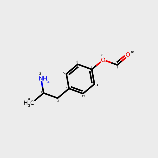 CC(N)Cc1ccc(OC=O)cc1